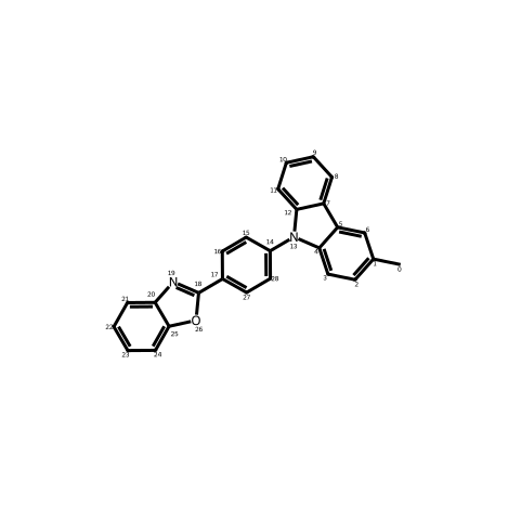 Cc1ccc2c(c1)c1ccccc1n2-c1ccc(-c2nc3ccccc3o2)cc1